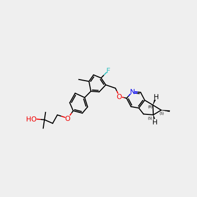 Cc1cc(F)c(COc2cc3c(cn2)[C@@H]2[C@@H](C)[C@@H]2C3)cc1-c1ccc(OCCC(C)(C)O)cc1